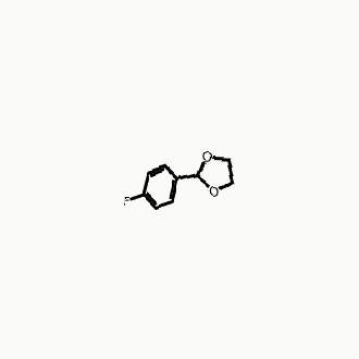 Fc1ccc(C2OCCO2)cc1